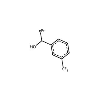 CCCC(O)c1cccc(C(F)(F)F)c1